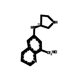 Cl.FC(F)(F)c1cc(N[C@H]2CCNC2)cc2cccnc12